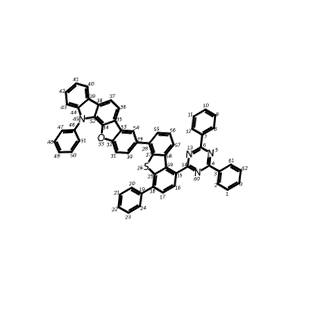 c1ccc(-c2nc(-c3ccccc3)nc(-c3ccc(-c4ccccc4)c4sc5c(-c6ccc7oc8c(ccc9c%10ccccc%10n(-c%10ccccc%10)c98)c7c6)cccc5c34)n2)cc1